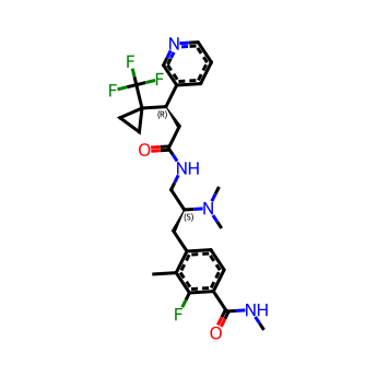 CNC(=O)c1ccc(C[C@@H](CNC(=O)C[C@H](c2cccnc2)C2(C(F)(F)F)CC2)N(C)C)c(C)c1F